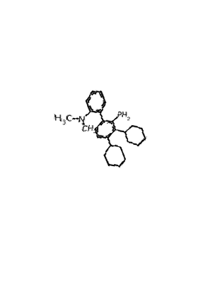 CN(C)c1ccccc1-c1ccc(C2CCCCC2)c(C2CCCCC2)c1P